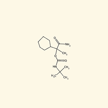 CC(C)(C)NC(=O)OC(C)(C(N)=O)C1CCCCC1